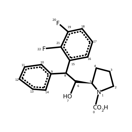 O=C(O)N1CCC[C@@H]1C(O)C(c1ccccc1)c1cccc(F)c1F